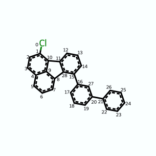 Clc1ccc2cccc3c2c1-c1cccc(-c2cccc(-c4ccccc4)c2)c1-3